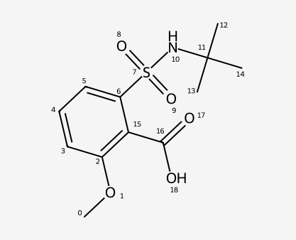 COc1cccc(S(=O)(=O)NC(C)(C)C)c1C(=O)O